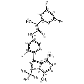 [2H]C([2H])([2H])c1nc(-c2ccc(NC(=O)C(O)c3cc(F)cc(F)c3)cc2F)c2c(N)ncc(C)n12